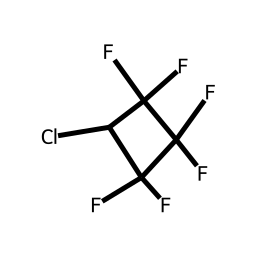 FC1(F)C(Cl)C(F)(F)C1(F)F